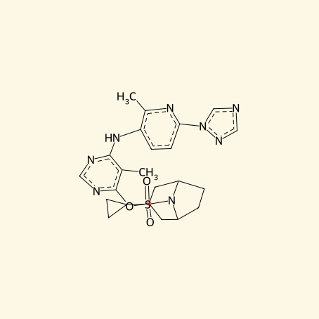 Cc1nc(-n2cncn2)ccc1Nc1ncnc(OC2CC3CCC(C2)N3S(=O)(=O)C2CC2)c1C